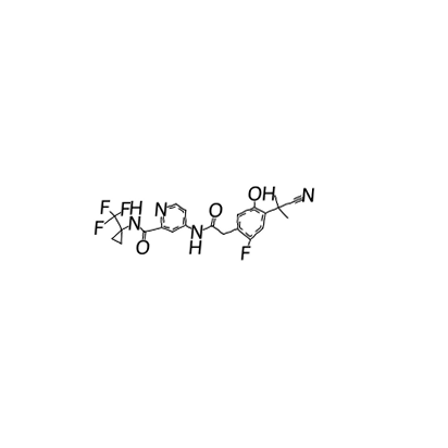 CC(C)(C#N)c1cc(F)c(CC(=O)Nc2ccnc(C(=O)NC3(C(F)(F)F)CC3)c2)cc1O